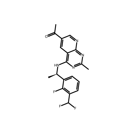 CC(=O)c1cnc2nc(C)nc(N[C@H](C)c3cccc(C(F)F)c3F)c2c1